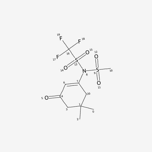 CC1(C)CC(=O)C=C(N(S(C)(=O)=O)S(=O)(=O)C(F)(F)F)C1